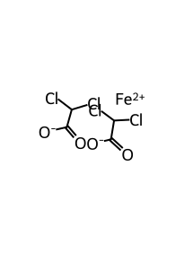 O=C([O-])C(Cl)Cl.O=C([O-])C(Cl)Cl.[Fe+2]